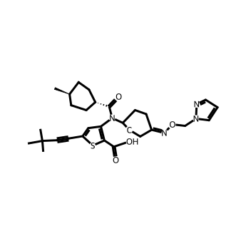 CC(C)(C)C#Cc1cc(N(C(=O)[C@H]2CC[C@H](C)CC2)C2CCC(=NOCn3cccn3)CC2)c(C(=O)O)s1